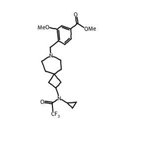 COC(=O)c1ccc(CN2CCC3(CC2)CC(N(C(=O)C(F)(F)F)C2CC2)C3)c(OC)c1